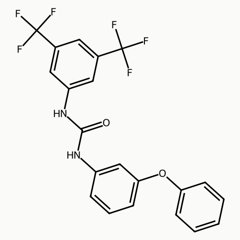 O=C(Nc1cccc(Oc2ccccc2)c1)Nc1cc(C(F)(F)F)cc(C(F)(F)F)c1